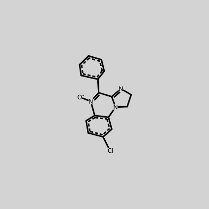 [O-][N+]1=C(c2ccccc2)C2=NCCN2c2cc(Cl)ccc21